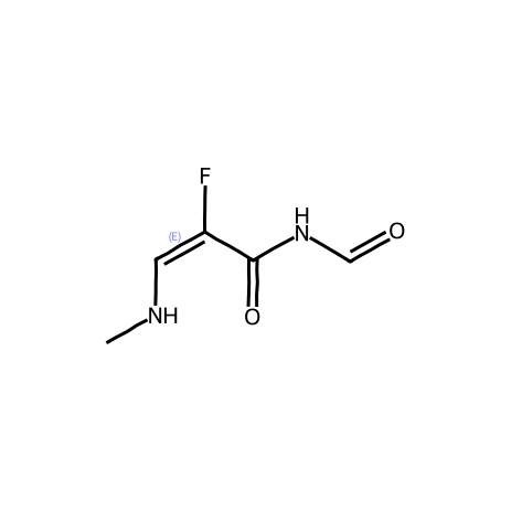 CN/C=C(/F)C(=O)NC=O